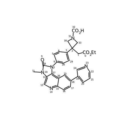 CCOC(=O)CC1(c2ccc(-n3c(=O)n(C)c4cnc5ccc(-c6cccnc6)cc5c43)cc2)CN(C(=O)O)C1